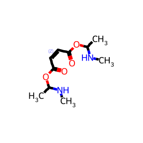 CNC(C)OC(=O)/C=C\C(=O)OC(C)NC